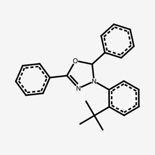 CC(C)(C)c1ccccc1N1N=C(c2ccccc2)OC1c1ccccc1